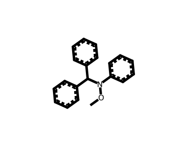 CON(c1ccccc1)C(c1ccccc1)c1ccccc1